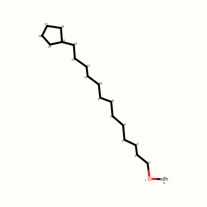 CCCOCCCCCCCCCCCCCC1CCCC1